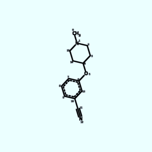 CN1CCC(Oc2cccc(C#N)c2)CC1